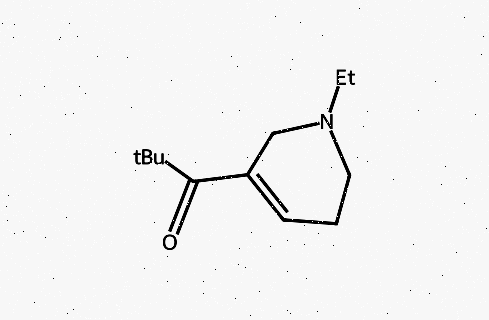 CCN1CCC=C(C(=O)C(C)(C)C)C1